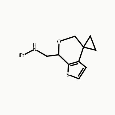 CC(C)NCC1OCC2(CC2)c2ccsc21